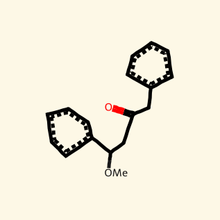 COC(CC(=O)Cc1ccccc1)c1ccccc1